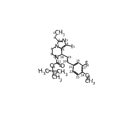 CCc1nc(I)c2n1CCN(C(=O)OC(C)(C)C)C2CCc1ccc(OC)c(F)c1